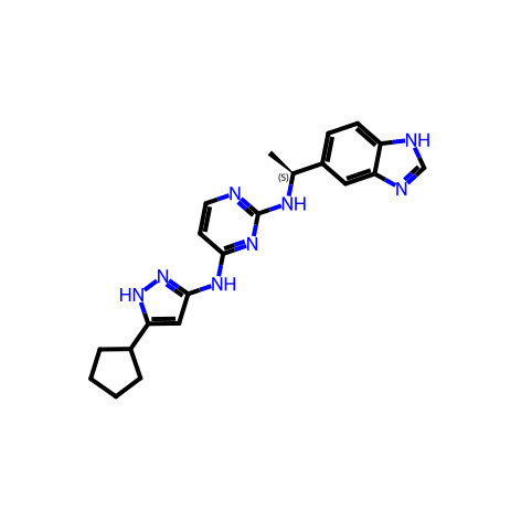 C[C@H](Nc1nccc(Nc2cc(C3CCCC3)[nH]n2)n1)c1ccc2[nH]cnc2c1